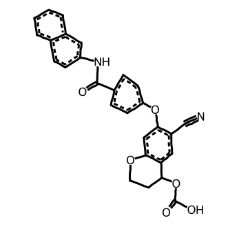 N#Cc1cc2c(cc1Oc1ccc(C(=O)Nc3ccc4ccccc4c3)cc1)OCCC2OC(=O)O